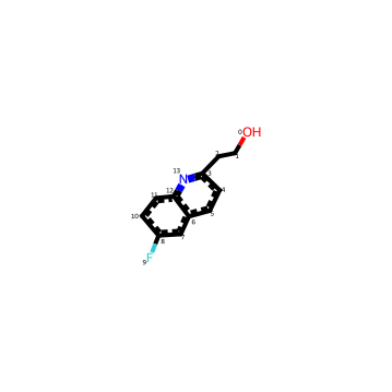 OCCc1ccc2cc(F)ccc2n1